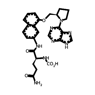 NC(=O)CC[C@H](NC(=O)O)C(=O)Nc1ccc2cccc(OC[C@H]3CCCN3c3ncnc4[nH]cnc34)c2c1